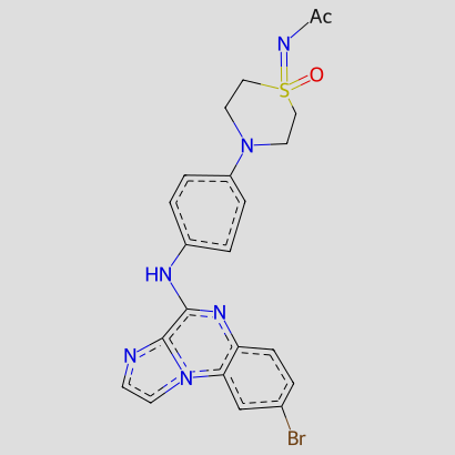 CC(=O)N=S1(=O)CCN(c2ccc(Nc3nc4ccc(Br)cc4n4ccnc34)cc2)CC1